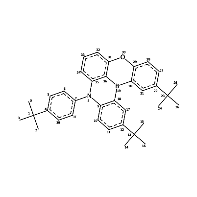 CC(C)(C)c1ccc(N2c3ccc(C(C)(C)C)cc3B3c4cc(C(C)(C)C)ccc4Oc4cccc2c43)cc1